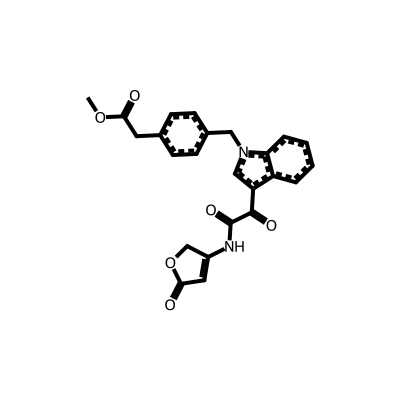 COC(=O)Cc1ccc(Cn2cc(C(=O)C(=O)NC3=CC(=O)OC3)c3ccccc32)cc1